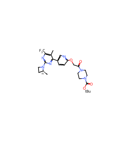 Cc1c(-c2ccc(OCC(=O)N3CCN(C(=O)OC(C)(C)C)CC3)nc2)nc(N2CC[C@@H]2C)nc1C(F)(F)F